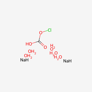 O.O.O.O.O.O=C(O)OCl.[NaH].[NaH]